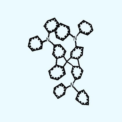 c1ccc(N(c2ccccc2)c2ccc3c(c2)-c2ccccc2C32c3cc(N(c4ccccc4)c4ccccc4)ccc3-c3ccc(N(c4ccccc4)c4ccccc4)cc32)cc1